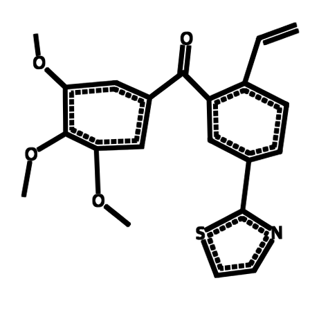 C=Cc1ccc(-c2nccs2)cc1C(=O)c1cc(OC)c(OC)c(OC)c1